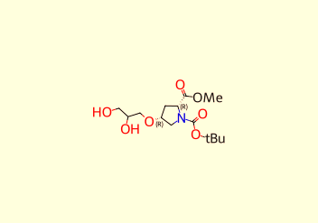 COC(=O)[C@H]1C[C@@H](OCC(O)CO)CN1C(=O)OC(C)(C)C